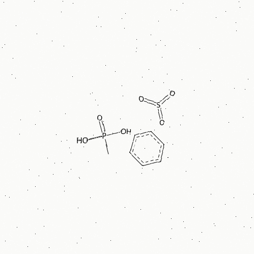 CP(=O)(O)O.O=S(=O)=O.c1ccccc1